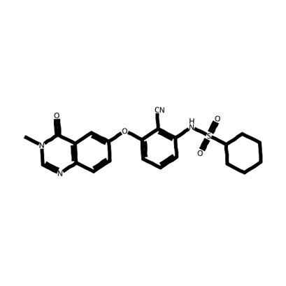 Cn1cnc2ccc(Oc3cccc(NS(=O)(=O)C4CCCCC4)c3C#N)cc2c1=O